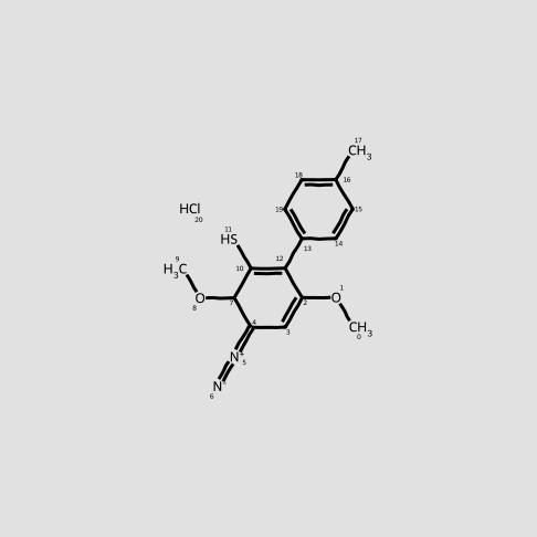 COC1=CC(=[N+]=[N-])C(OC)C(S)=C1c1ccc(C)cc1.Cl